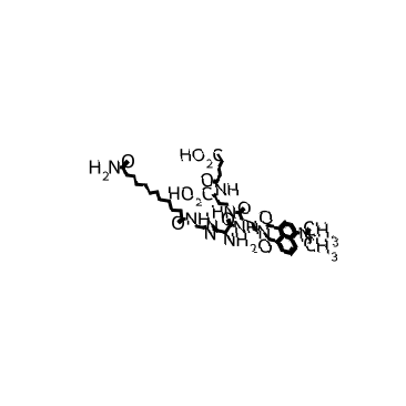 CN(C)c1ccc2c3c(cccc13)C(=O)N(CC[C@@H](NC(=O)[C@@H](N)C1N3C(CNC(=O)CCCCCCCCCCC(N)=O)N13)C(=O)NCC[C@@H](NC(=O)CCCC(=O)O)C(=O)O)C2=O